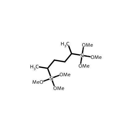 CO[Si](OC)(OC)C(C)CCC(C)[Si](OC)(OC)OC